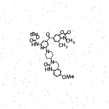 COc1ccc2c(c1)CCN(C1CCN(c3cc(C(=O)c4cc(C)c5c(c4)oc(=O)n5C)cc(NC(=O)OC(C)(C)C)n3)CC1)C(=O)N2